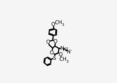 COc1ccc(C2OCC3OC(Sc4ccccc4)C(OC)C(N=[N+]=[N-])C3O2)cc1